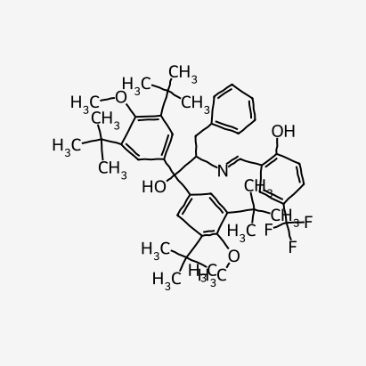 COc1c(C(C)(C)C)cc(C(O)(c2cc(C(C)(C)C)c(OC)c(C(C)(C)C)c2)C(Cc2ccccc2)N=Cc2cc(C(F)(F)F)ccc2O)cc1C(C)(C)C